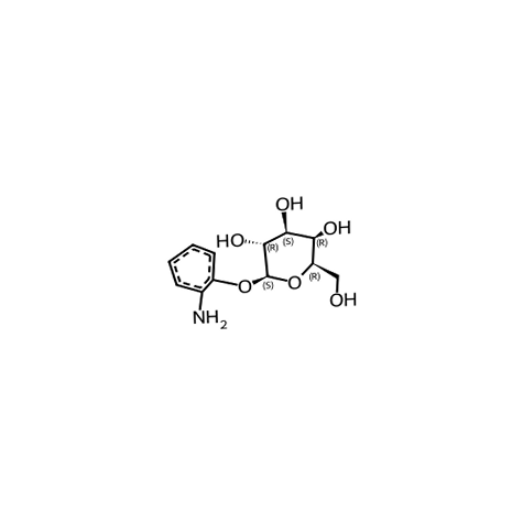 Nc1ccccc1O[C@@H]1O[C@H](CO)[C@H](O)[C@H](O)[C@H]1O